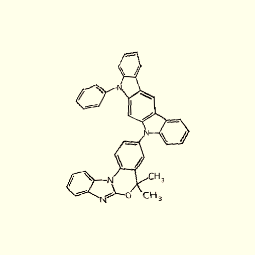 CC1(C)Oc2nc3ccccc3n2-c2ccc(-n3c4ccccc4c4cc5c6ccccc6n(-c6ccccc6)c5cc43)cc21